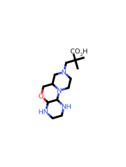 CC(C)(CN1CCN2C(COC3NCCNC32)C1)C(=O)O